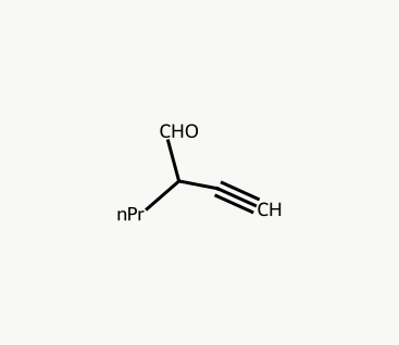 C#CC(C=O)CCC